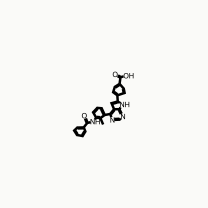 Cc1c(NC(=O)c2ccccc2)cccc1-c1ncnc2[nH]c(-c3ccc(C(=O)O)cc3)cc12